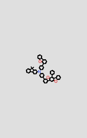 CC1(C)c2ccccc2-c2ccc(N(c3ccc(-c4cccc5c4oc4ccccc45)cc3)c3ccc(-c4cccc5c4oc4c(-c6ccccc6)c6c(cc45)oc4ccccc46)cc3)cc21